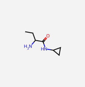 CCC(N)C(=O)NC1CC1